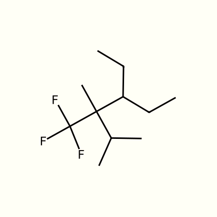 CCC(CC)C(C)(C(C)C)C(F)(F)F